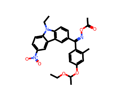 CCOC(C)Oc1ccc(/C(=N/OC(C)=O)c2ccc3c(c2)c2cc([N+](=O)[O-])ccc2n3CC)c(C)c1